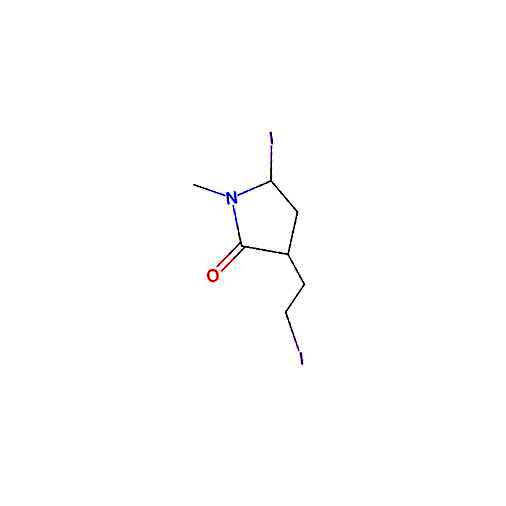 CN1C(=O)C(CCI)CC1I